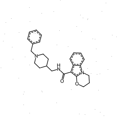 O=C(NCC1CCN(Cc2ccccc2)CC1)c1c2n(c3ccccc13)CCCO2